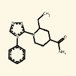 CCC1CC(C(N)=O)CCN1c1nncn1-c1ccccc1